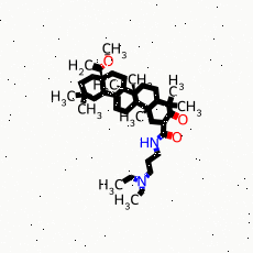 C=C(OC)[C@]12CCC(C)(C)CC1C1=CCC3[C@@]4(C)CC(C(=O)NCCCN(CC)CC)C(=O)C(C)(C)C4CC[C@@]3(C)[C@]1(C)CC2